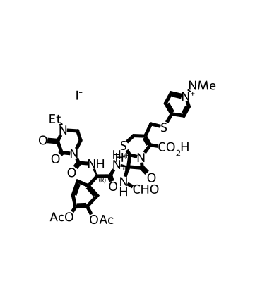 CCN1CCN(C(=O)N[C@@H](C(=O)N[C@]2(NC=O)C(=O)N3C(C(=O)O)=C(CSc4cc[n+](NC)cc4)CS[C@@H]32)c2ccc(OC(C)=O)c(OC(C)=O)c2)C(=O)C1=O.[I-]